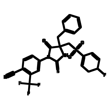 N#Cc1ccc(N2C(=O)C(Cc3ccccc3)(CS(=O)(=O)C3=CCC(F)C=C3)NC2=S)cc1C(F)(F)F